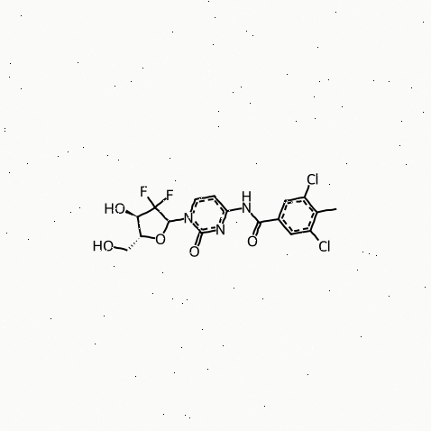 Cc1c(Cl)cc(C(=O)Nc2ccn(C3O[C@H](CO)[C@@H](O)C3(F)F)c(=O)n2)cc1Cl